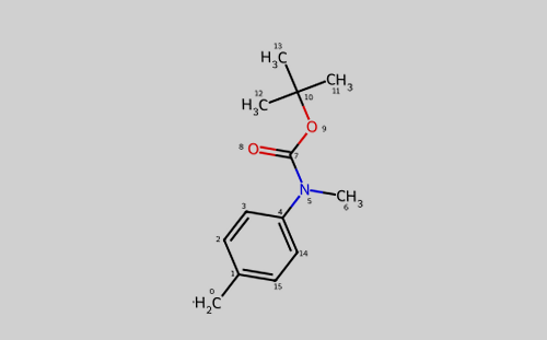 [CH2]c1ccc(N(C)C(=O)OC(C)(C)C)cc1